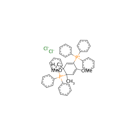 COC1=CC(C)([P+](c2ccccc2)(c2ccccc2)c2ccccc2)C(C)(OC)C=C1[P+](c1ccccc1)(c1ccccc1)c1ccccc1.[Cl-].[Cl-]